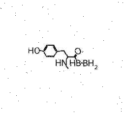 BBC(=O)C(Cc1ccc(O)cc1)NC